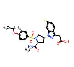 CNC(=O)[C@@H]1C[C@@H](n2nc(CC(=O)O)c3ccc(F)cc32)CN1S(=O)(=O)c1ccc(OC(C)C)cc1